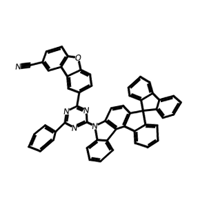 N#Cc1ccc2oc3ccc(-c4nc(-c5ccccc5)nc(-n5c6ccccc6c6c7c(ccc65)C5(c6ccccc6-c6ccccc65)c5ccccc5-7)n4)cc3c2c1